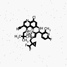 Cc1nc(F)ccc1[C@H](Nc1cc(Cl)c2ncc(C#N)c(NCC(C)(C)C)c2c1)C1=CN(CC2(C(F)F)CC2)NN1